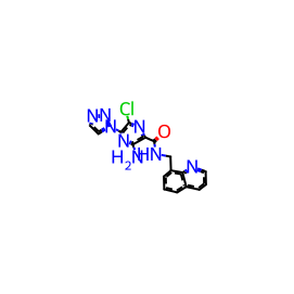 Nc1nc(-n2ccnn2)c(Cl)nc1C(=O)NCc1cccc2cccnc12